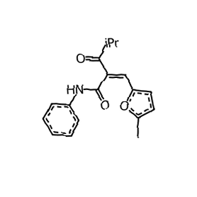 Cc1ccc(/C=C(\C(=O)Nc2ccccc2)C(=O)C(C)C)o1